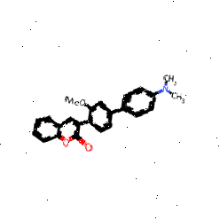 COc1cc(-c2ccc(N(C)C)cc2)ccc1-c1cc2ccccc2oc1=O